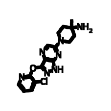 CC1(N)CCN(c2cnc3c(Oc4ncccc4Cl)n[nH]c3n2)CC1